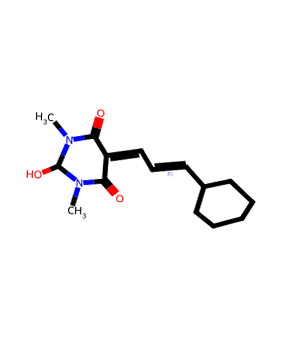 CN1C(=O)C(=C/C=C/C2CCCCC2)C(=O)N(C)C1O